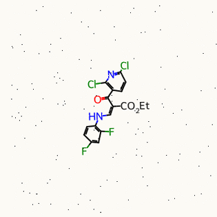 CCOC(=O)C(=CNc1ccc(F)cc1F)C(=O)c1ccc(Cl)nc1Cl